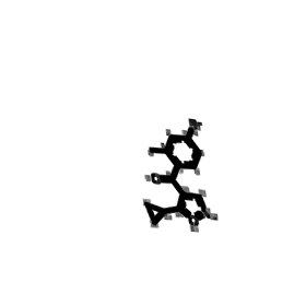 Cc1cc(Br)ccc1C(=O)c1cnoc1C1CC1